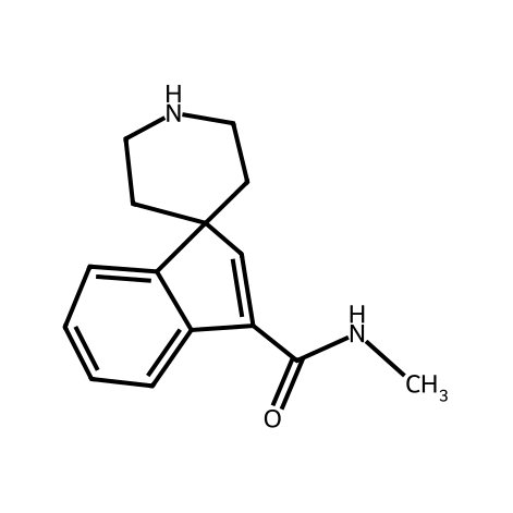 CNC(=O)C1=CC2(CCNCC2)c2ccccc21